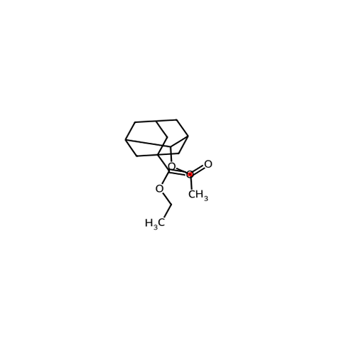 CCOC(=O)C12CC3CC(C1)C(OC(C)=O)C(C3)C2